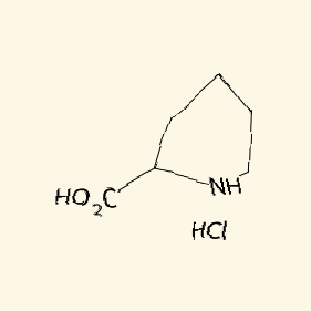 Cl.O=C(O)C1CCCCN1